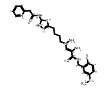 N/C(=C\N(N)CCCCC1=NNC(NC(=O)Cc2ccccn2)S1)C(=O)NCc1cc(OC(F)(F)F)ccc1F